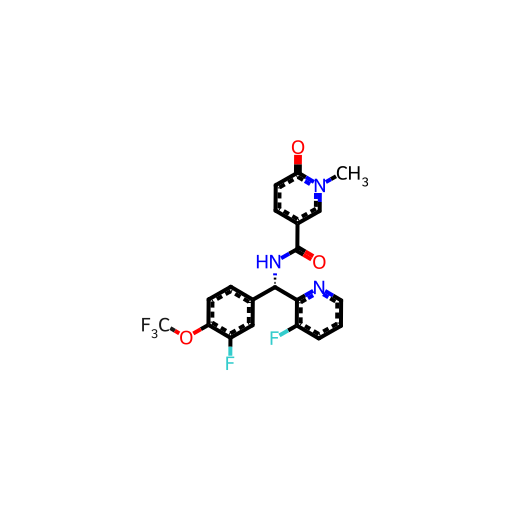 Cn1cc(C(=O)N[C@@H](c2ccc(OC(F)(F)F)c(F)c2)c2ncccc2F)ccc1=O